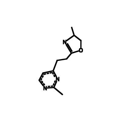 Cc1nccc(CCC2=NC(C)CO2)n1